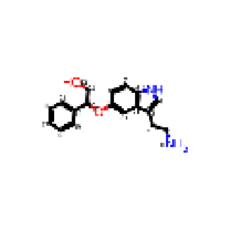 NCCc1c[nH]c2ccc(OC(CO)c3ccccc3)cc12